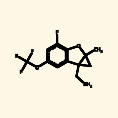 CC12CC1(CN)c1cc(OC(F)(F)F)cc(F)c1O2